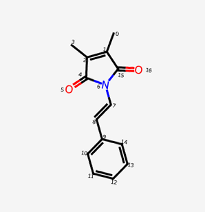 CC1=C(C)C(=O)N(C=Cc2ccccc2)C1=O